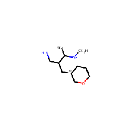 CC(C)(C)C(NC(=O)O)C(CN)C[C@H]1CCCOC1